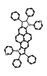 c1ccc(-c2c(-c3ccccc3)n(-c3cccnc3)c3c2cc2ccc4c5c(cc6ccc3c2c64)C(c2ccccc2)C(c2ccccc2)N5c2cccnc2)cc1